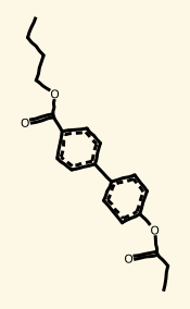 CCCCOC(=O)c1ccc(-c2ccc(OC(=O)CC)cc2)cc1